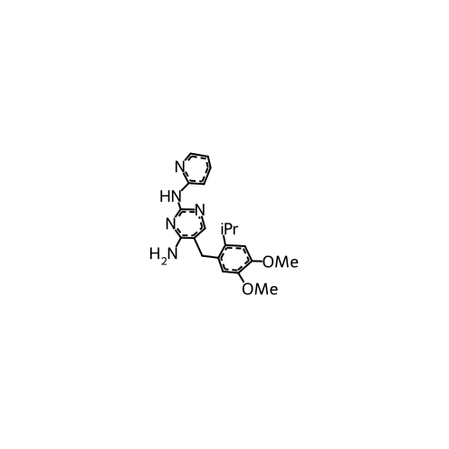 COc1cc(Cc2cnc(Nc3ccccn3)nc2N)c(C(C)C)cc1OC